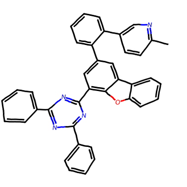 Cc1ccc(-c2ccccc2-c2cc(-c3nc(-c4ccccc4)nc(-c4ccccc4)n3)c3oc4ccccc4c3c2)cn1